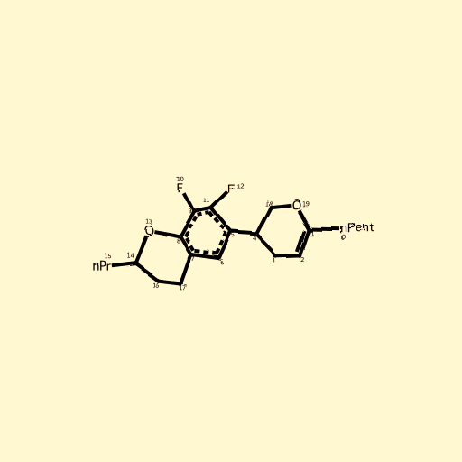 CCCCCC1=CCC(c2cc3c(c(F)c2F)OC(CCC)CC3)CO1